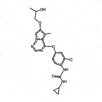 Cc1c(OCC(C)O)cn2ncnc(Oc3ccc(NC(=O)NC4CC4)c(Cl)c3)c12